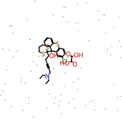 CCN(CC)CC#CCCC1(C2(O)c3ccccc3Sc3ccc(Cl)cc32)SCCCS1.O=C(O)C(=O)O